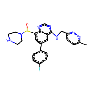 Cc1ccc(CNc2ncnc3c([S+]([O-])N4CCNCC4)cc(-c4ccc(F)cc4)cc23)nn1